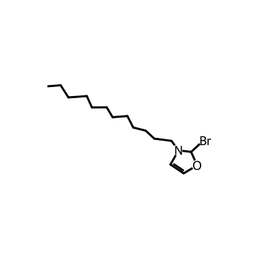 CCCCCCCCCCCCN1C=COC1Br